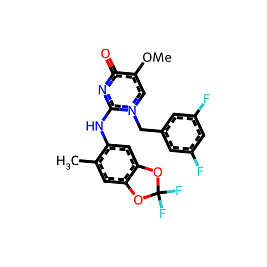 COc1cn(Cc2cc(F)cc(F)c2)c(Nc2cc3c(cc2C)OC(F)(F)O3)nc1=O